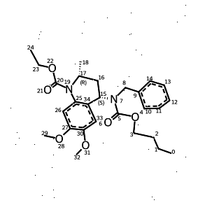 CCCCOC(=O)N(Cc1ccccc1)[C@H]1C[C@@H](C)N(C(=O)OCC)c2cc(OC)c(OC)cc21